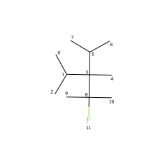 CC(C)C(C)(C(C)C)C(C)(C)F